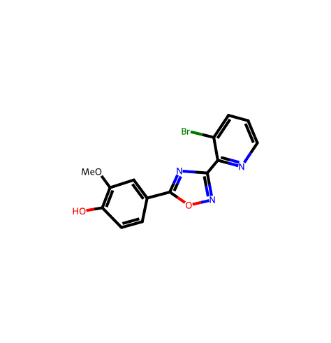 COc1cc(-c2nc(-c3ncccc3Br)no2)ccc1O